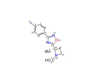 CC(C)(C)[C@]1(c2nc(-c3ccc(I)cc3)no2)CCN1C(=O)O